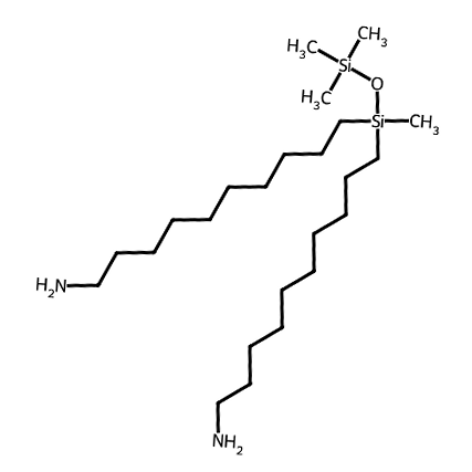 C[Si](C)(C)O[Si](C)(CCCCCCCCCCN)CCCCCCCCCCN